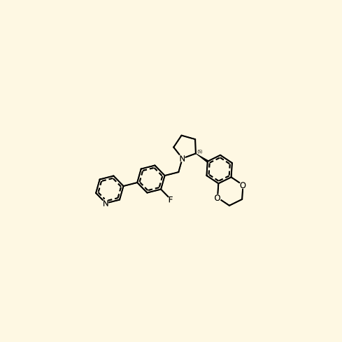 Fc1cc(-c2cccnc2)ccc1CN1CCC[C@H]1c1ccc2c(c1)OCCO2